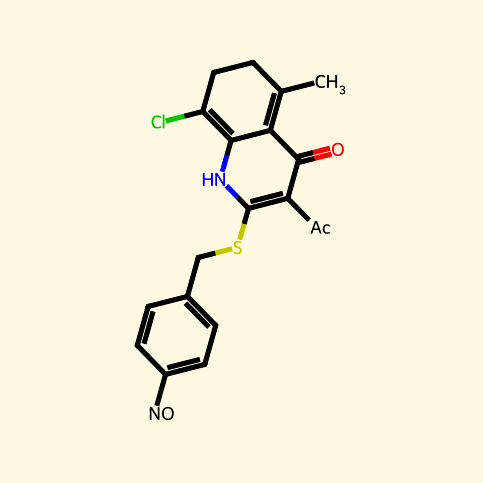 CC(=O)c1c(SCc2ccc(N=O)cc2)[nH]c2c(c1=O)=C(C)CCC=2Cl